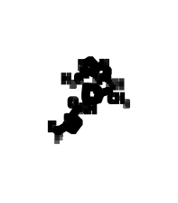 C[C@H](Nc1cnc2cnn(C)c2n1)c1cccc(NC(=O)c2ccc(C(F)F)s2)c1